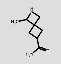 CC1NCC12CC(C(N)=O)C2